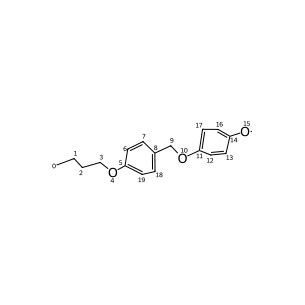 CCCCOc1ccc(COc2ccc([O])cc2)cc1